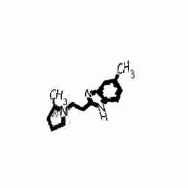 Cc1ccc2[nH]c(CCN3CCC[C@H]3C)nc2c1